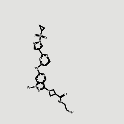 CC(C)n1nc(N2CC(C(=O)NCCO)C2)c2cnc(Nc3ccnc(-c4cnn(S(=O)(=O)C5CC5)c4)n3)cc21